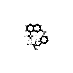 CCCC[N+](CCCC)(CCCC)Cc1ccccc1.O=S(=O)([O-])c1cccc2ccc(O)cc12